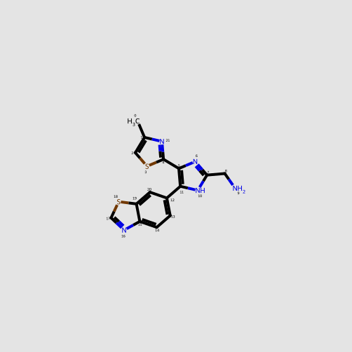 Cc1csc(-c2nc(CN)[nH]c2-c2ccc3ncsc3c2)n1